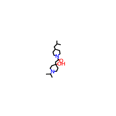 CC(C)CC1CCN(C(=O)CC2(O)CCN(C(C)C)CC2)CC1